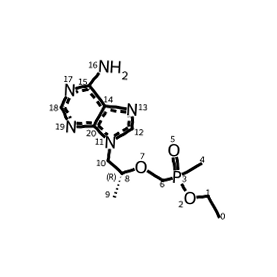 CCOP(C)(=O)CO[C@H](C)Cn1cnc2c(N)ncnc21